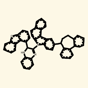 c1ccc2c(c1)CCC(c1ccc3c(c1)c1c4ccccc4ccc1n3C1=Nc3ccccc3NC1c1cccc3oc4ccccc4c13)c1ccccc1-2